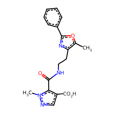 Cc1oc(-c2ccccc2)nc1CCNC(=O)c1c(C(=O)O)cnn1C